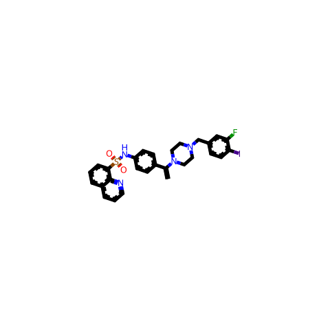 C=C(c1ccc(NS(=O)(=O)c2cccc3cccnc23)cc1)N1CCN(Cc2ccc(I)c(F)c2)CC1